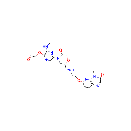 CNc1nc(N(C=O)CC(CNCCOc2ccc3ncc(=O)n(C)c3n2)OC)cnc1OCC=O